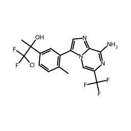 Cc1ccc(C(C)(O)C(F)(F)Cl)cc1-c1cnc2c(N)nc(C(F)(F)F)cn12